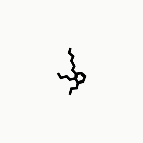 CCCCCCc1[c]ccc(CCC)c1CCCC